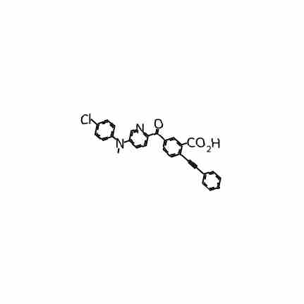 CN(c1ccc(Cl)cc1)c1ccc(C(=O)c2ccc(C#Cc3ccccc3)c(C(=O)O)c2)nc1